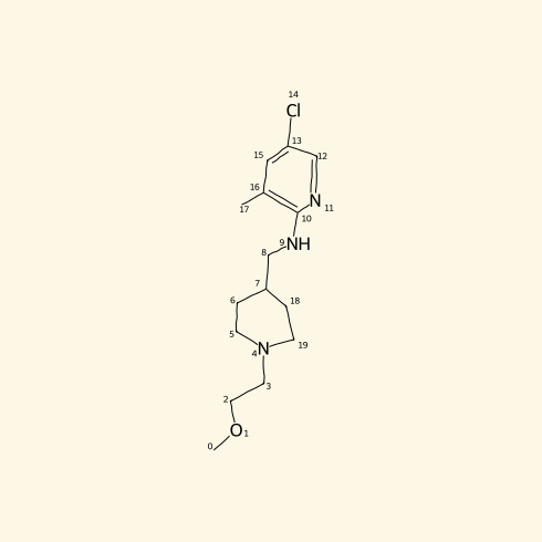 COCCN1CCC(CNc2ncc(Cl)cc2C)CC1